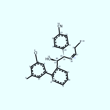 Cc1cc(Cl)cc(-c2ncccc2[C@@H](O)[C@@H](/N=C\CF)c2ccc(C#N)cc2)c1